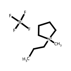 CCC[N+]1(C)CCCC1.F[B-](F)(F)F